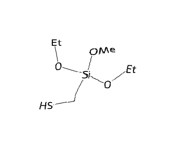 CCO[Si](CS)(OC)OCC